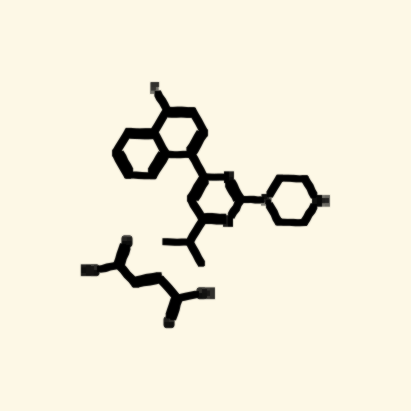 CC(C)c1cc(-c2ccc(F)c3ccccc23)nc(N2CCNCC2)n1.O=C(O)C=CC(=O)O